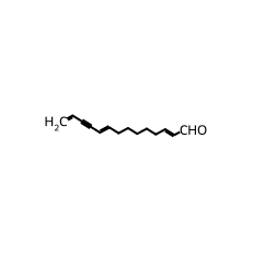 C=CC#CC=CCCCCCC=CC=O